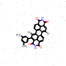 Cc1cc(C)cc(-c2c3c4c(ccc5c6c(Br)cc7c8c(ccc(c(c2Br)c45)c86)C(=O)NC7=O)C(=O)NC3=O)c1